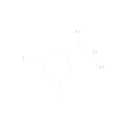 CC/C(=N/N)c1cc(F)cc(Br)c1